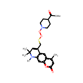 CCN1c2cc3oc(=O)cc(C)c3cc2C(CSOON2CCC(C(=O)OC)CC2)=CC1(C)C